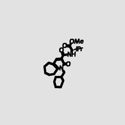 COC(=O)[C@@H](NC(=O)c1cc2c(n(CC3CCCCC3)c1=O)CCCCC2)C(C)C